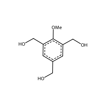 COc1c(CO)cc(CO)cc1CO